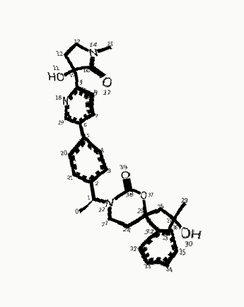 C[C@@H](c1ccc(-c2ccc(C3(O)CCN(C)C3=O)nc2)cc1)N1CCC(CC(C)(C)O)(c2ccccc2)OC1=O